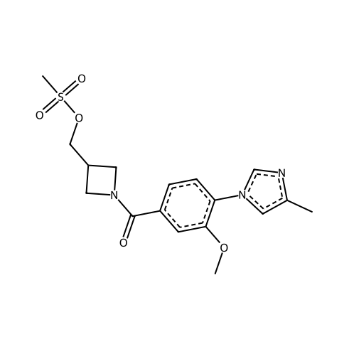 COc1cc(C(=O)N2CC(COS(C)(=O)=O)C2)ccc1-n1cnc(C)c1